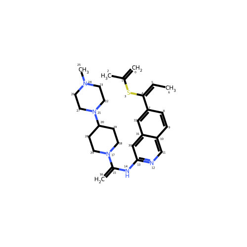 C=C(C)S/C(=C/C)c1ccc2cnc(NC(=C)N3CCC(N4CCN(C)CC4)CC3)cc2c1